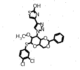 COC1C(Sc2ccc(Cl)c(Cl)c2)OC2COC(c3ccccc3)OC2C1n1cc(-c2csc(O)n2)nn1